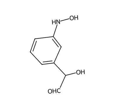 O=CC(O)c1cccc(NO)c1